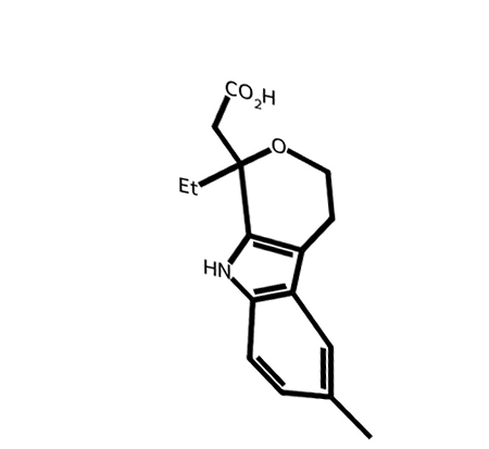 CCC1(CC(=O)O)OCCc2c1[nH]c1ccc(C)cc21